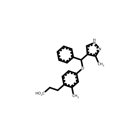 Cc1cc(OC(c2ccccc2)c2c[nH]nc2C)ccc1CCC(=O)O